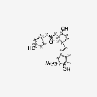 COc1cc(C=Cc2ccc(O)c(C=[N+]([O-])Cc3ccc(O)cc3)c2)ccc1O